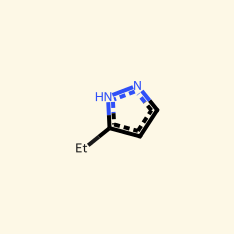 CCc1ccn[nH]1